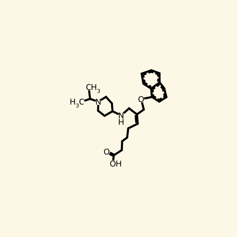 CC(C)N1CCC(NC/C(=C\CCCCC(=O)O)COc2cccc3ccccc23)CC1